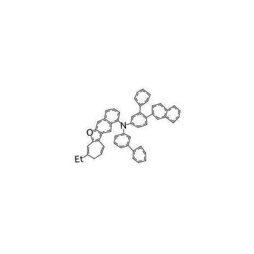 CCC1=Cc2oc3cc4cccc(N(c5cccc(-c6ccccc6)c5)c5ccc(-c6ccc7ccccc7c6)c(-c6ccccc6)c5)c4cc3c2C=CC1